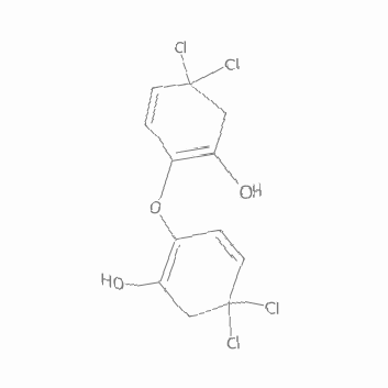 OC1=C(OC2=C(O)CC(Cl)(Cl)C=C2)C=CC(Cl)(Cl)C1